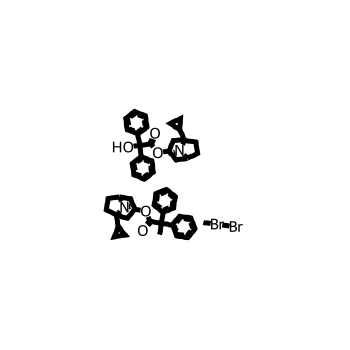 CBr.CBr.CN1C2CCC1(C1CC1)CC(OC(=O)C(C)(c1ccccc1)c1ccccc1)C2.CN1C2CCC1(C1CC1)CC(OC(=O)C(O)(c1ccccc1)c1ccccc1)C2